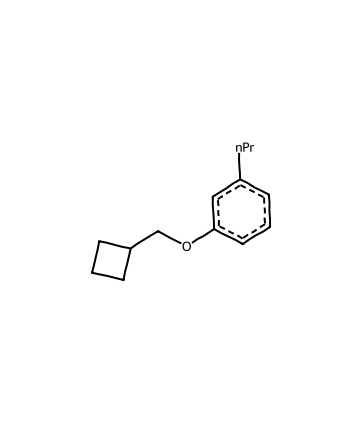 CCCc1cccc(OCC2CCC2)c1